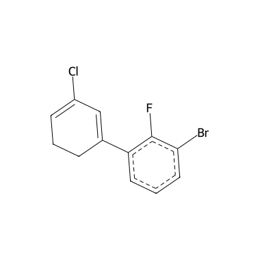 Fc1c(Br)cccc1C1=CC(Cl)=CCC1